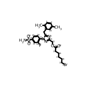 Cc1ccc(C)c(Cc2nc(COC(=O)CCCCCBr)nn2-c2ccc(S(N)(=O)=O)cc2F)c1